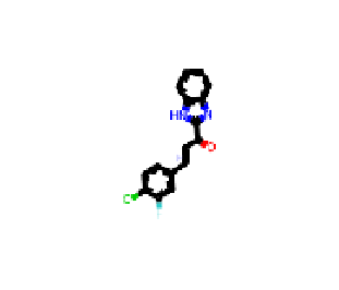 O=C(/C=C/c1ccc(Cl)c(F)c1)c1nc2ccccc2[nH]1